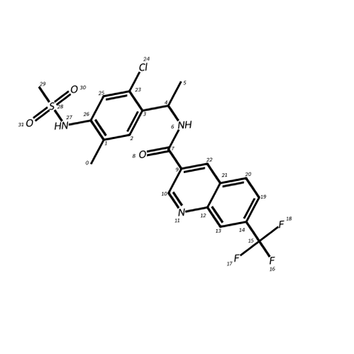 Cc1cc(C(C)NC(=O)c2cnc3cc(C(F)(F)F)ccc3c2)c(Cl)cc1NS(C)(=O)=O